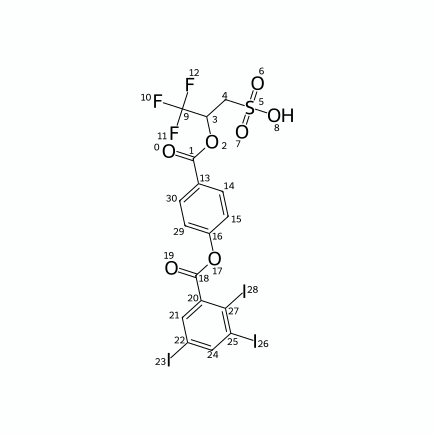 O=C(OC(CS(=O)(=O)O)C(F)(F)F)c1ccc(OC(=O)c2cc(I)cc(I)c2I)cc1